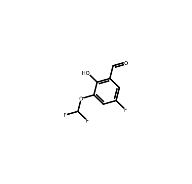 O=Cc1cc(F)cc(OC(F)F)c1O